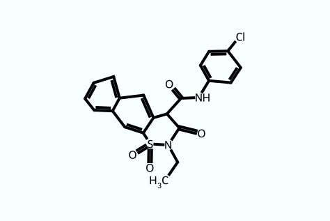 CCN1C(=O)C(C(=O)Nc2ccc(Cl)cc2)c2cc3ccccc3cc2S1(=O)=O